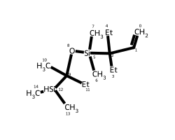 C=CC(CC)(CC)[Si](C)(C)OC(C)(CC)[SiH](C)C